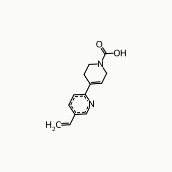 C=Cc1ccc(C2=CCN(C(=O)O)CC2)nc1